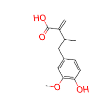 C=C(C(=O)O)C(C)Cc1ccc(O)c(OC)c1